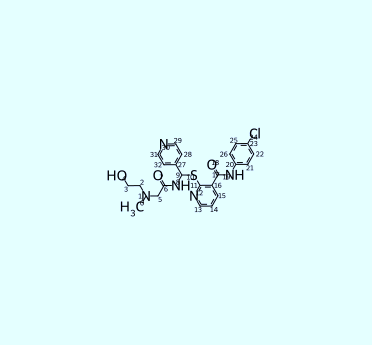 CN(CCO)CC(=O)NC(Sc1ncccc1C(=O)Nc1ccc(Cl)cc1)c1ccncc1